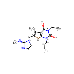 Cc1c(CN2CCNC2=NC#N)sc2c1c(=O)n(CC(C)(C)C)c(=O)n2CCC(F)(F)F